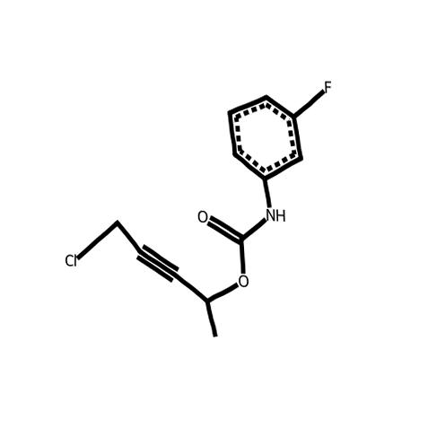 CC(C#CCCl)OC(=O)Nc1cccc(F)c1